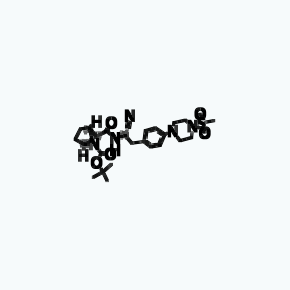 CC(C)(C)OC(=O)N1[C@@H]2CC[C@@H](C2)[C@H]1C(=O)N[C@H](C#N)Cc1ccc(N2CCN(S(C)(=O)=O)CC2)cc1